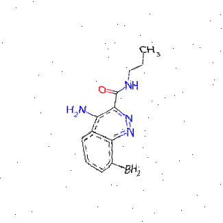 Bc1cccc2c(N)c(C(=O)NCCC)nnc12